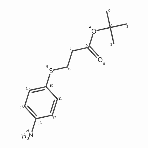 CC(C)(C)OC(=O)CCSc1ccc(N)cc1